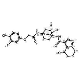 O=C(COc1ccc(Cl)c(F)c1)NC12CCC(NC(=O)c3coc4c3C(=O)CCC4)(CC1)[C@H](O)C2